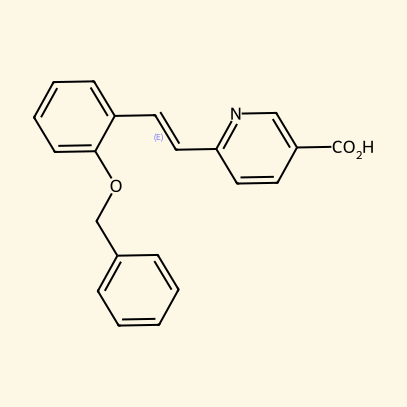 O=C(O)c1ccc(/C=C/c2ccccc2OCc2ccccc2)nc1